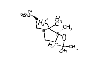 CC[C@H](C)CC[C@@H]1CC[C@](C)(OC(C)(C)O)C1(C)C